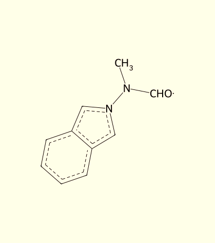 CN([C]=O)n1cc2ccccc2c1